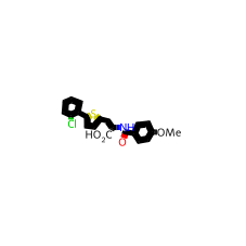 COc1ccc(C(=O)N/C(=C/c2ccc(-c3ccccc3Cl)s2)C(=O)O)cc1